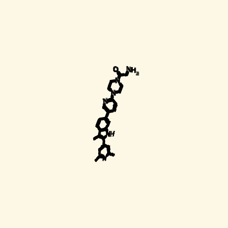 Cc1cc(-c2[nH]c3cc(-c4ccc(N5CCN(C(=O)CN)CC5)nc4)ccc3c2C)cc(C)n1